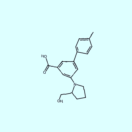 Cc1ccc(-c2cc(C(=O)O)cc(N3CCCC3CO)c2)cc1